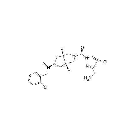 CN(Cc1ccccc1Cl)[C@H]1C[C@@H]2CN(C(=O)n3cc(Cl)c(CN)n3)C[C@@H]2C1